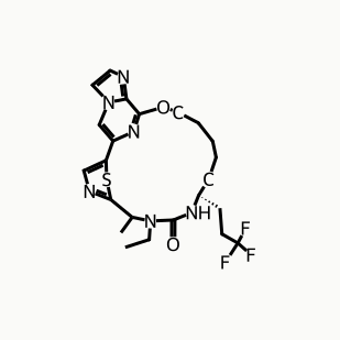 CCN1C(=O)N[C@@H](CCC(F)(F)F)CCCCCOc2nc(cn3ccnc23)-c2cnc(s2)C1C